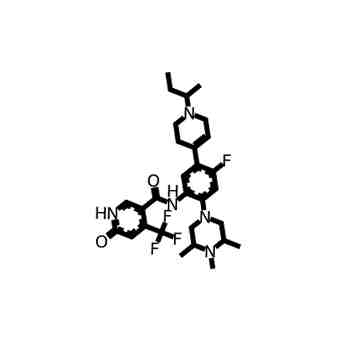 CCC(C)N1CC=C(c2cc(NC(=O)c3c[nH]c(=O)cc3C(F)(F)F)c(N3CC(C)N(C)C(C)C3)cc2F)CC1